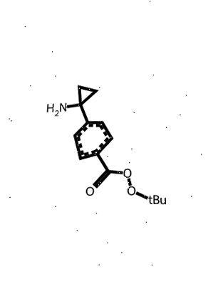 CC(C)(C)OOC(=O)c1ccc(C2(N)CC2)cc1